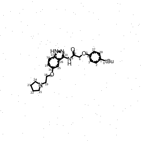 CC(C)(C)c1ccc(OCC(=O)Nc2n[nH]c3ccc(OCCN4CCCC4)cc23)cc1